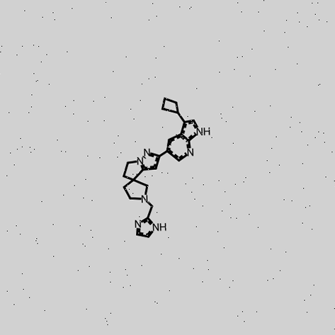 c1c[nH]c(CN2CCC3(CCn4nc(-c5cnc6[nH]cc(C7CCC7)c6c5)cc43)C2)n1